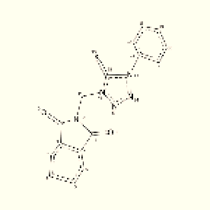 O=C1c2ccccc2C(=O)N1Cn1nnn(-c2ccccc2)c1=S